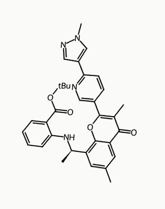 Cc1cc([C@@H](C)Nc2ccccc2C(=O)OC(C)(C)C)c2oc(-c3ccc(-c4cnn(C)c4)nc3)c(C)c(=O)c2c1